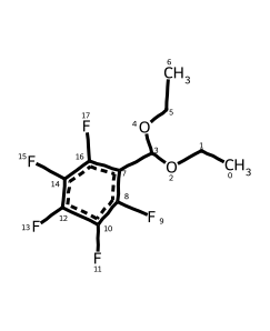 CCOC(OCC)c1c(F)c(F)c(F)c(F)c1F